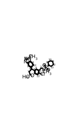 CN(Cc1cc(C(CC(=O)O)c2ccc3c(c2)nnn3C)ccc1Cl)S(=O)(=O)C1CCCCC1